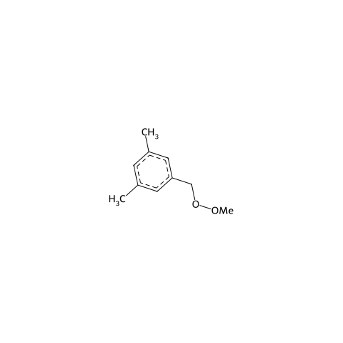 COOCc1cc(C)cc(C)c1